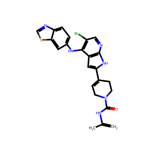 C=C(C)NC(=O)N1CC=C(c2cc3c(Nc4ccc5ncsc5c4)c(Br)cnc3[nH]2)CC1